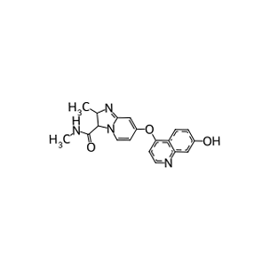 CNC(=O)C1C(C)N=C2C=C(Oc3ccnc4cc(O)ccc34)C=CN21